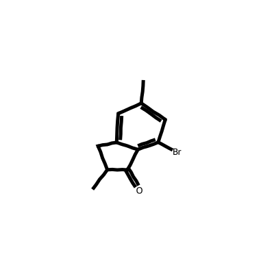 Cc1cc(Br)c2c(c1)CC(C)C2=O